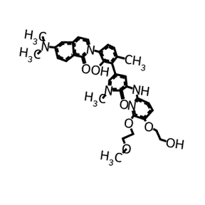 COCCOc1nc(Nc2cc(-c3c(C)ccc(-n4ccc5cc(N(C)C)ccc5c4=O)c3O)cn(C)c2=O)ccc1OCCO